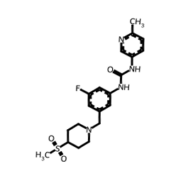 Cc1ccc(NC(=O)Nc2cc(F)cc(CN3CCC(S(C)(=O)=O)CC3)c2)cn1